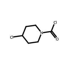 O=C(Cl)N1CCC(Cl)CC1